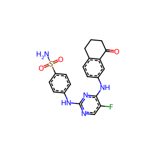 NS(=O)(=O)c1ccc(Nc2ncc(F)c(Nc3ccc4c(c3)C(=O)CCC4)n2)cc1